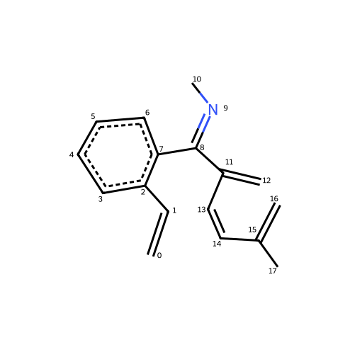 C=Cc1ccccc1/C(=N\C)C(=C)/C=C\C(=C)C